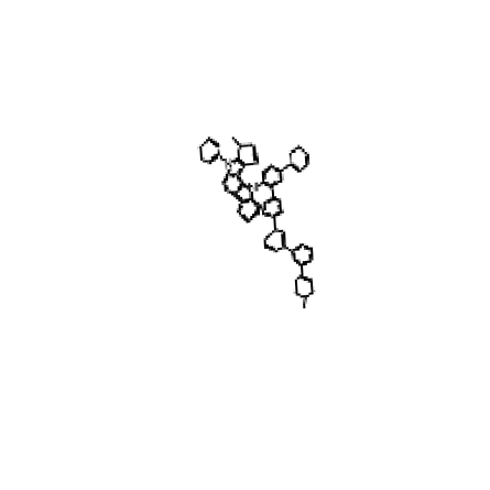 CC1C=CC(c2cccc(C3=CC(c4ccc(-c5cc(C6=CC=CCC6)ccc5-n5c6ccccc6c6ccc7c(c8c(n7C7=CCCC=C7)C(C)CC=C8)c65)cc4)CC=C3)c2)=CC1